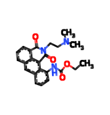 CCOC(=O)Nc1cccc2cc3cccc4c3c(c12)C(=O)N(CCN(C)C)C4=O